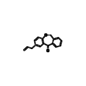 C=CCc1ccc2c(c1)C(=O)c1ccccc1CO2